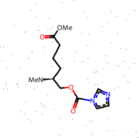 CN[C@@H](CCCC(=O)OC)COC(=O)n1ccnc1